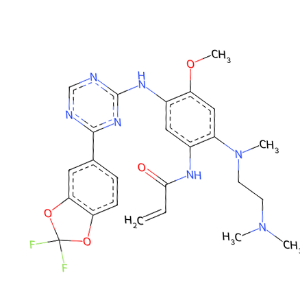 C=CC(=O)Nc1cc(Nc2ncnc(-c3ccc4c(c3)OC(F)(F)O4)n2)c(OC)cc1N(C)CCN(C)C